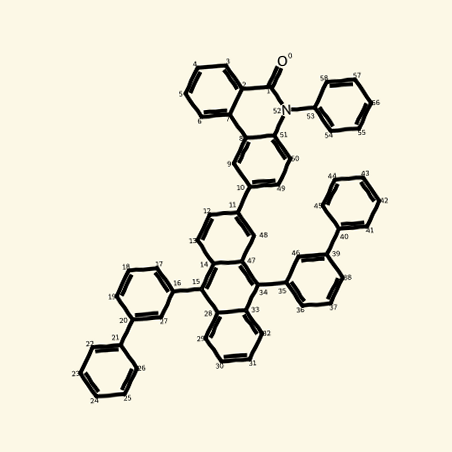 O=c1c2ccccc2c2cc(-c3ccc4c(-c5cccc(-c6ccccc6)c5)c5ccccc5c(-c5cccc(-c6ccccc6)c5)c4c3)ccc2n1-c1ccccc1